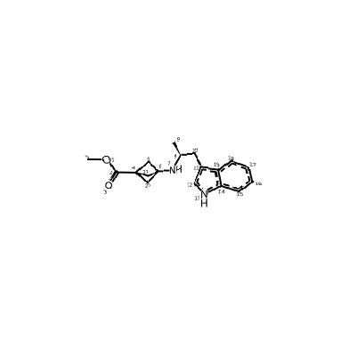 COC(=O)C12CC(N[C@@H](C)Cc3c[nH]c4ccccc34)(C1)C2